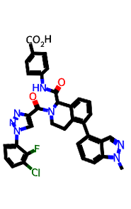 Cn1ncc2c(-c3cccc4c3CCN(C(=O)c3cn(-c5cccc(Cl)c5F)nn3)C4C(=O)Nc3ccc(C(=O)O)cc3)cccc21